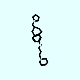 c1cc2c(cc1OCCCN1CCCCC1)CCC(CN1CCCC1)C2